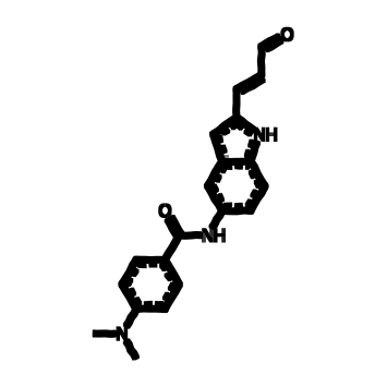 CN(C)c1ccc(C(=O)Nc2ccc3[nH]c(/C=C/C=O)cc3c2)cc1